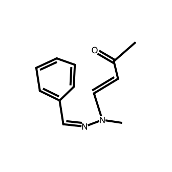 CC(=O)/C=C/N(C)/N=C\c1ccccc1